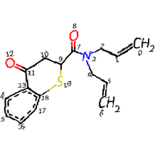 C=CCN(CC=C)C(=O)C1CC(=O)c2ccccc2S1